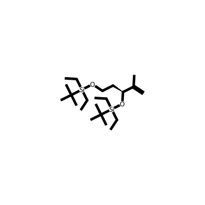 C=C(C)[C@H](CCO[Si](CC)(CC)C(C)(C)C)O[Si](CC)(CC)C(C)(C)C